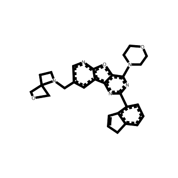 C1=Cc2c(cccc2-c2nc(N3CCOCC3)c3oc4ncc(CN5CCC56COC6)cc4c3n2)C1